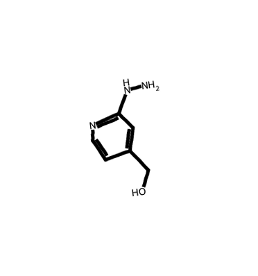 NNc1cc(CO)ccn1